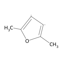 Cc1[c][c]c(C)o1